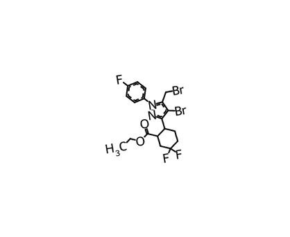 CCOC(=O)C1CC(F)(F)CCC1c1nn(-c2ccc(F)cc2)c(CBr)c1Br